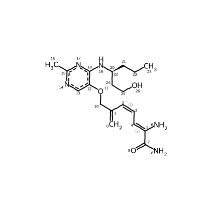 C=C(/C=C\C=C(/N)C(N)=O)COc1cnc(C)nc1N[C@@H](CCC)CCO